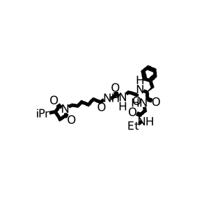 CCNC(=O)CNC(=O)[C@H](Cc1ccccc1)NC(=O)CNC(=O)CNC(=O)CCCCCN1C(=O)CC(C(C)C)C1=O